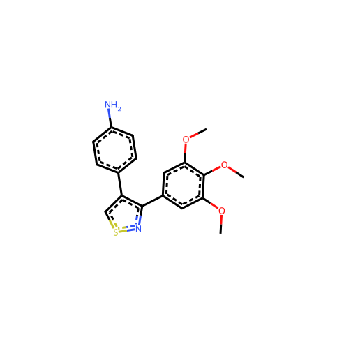 COc1cc(-c2nscc2-c2ccc(N)cc2)cc(OC)c1OC